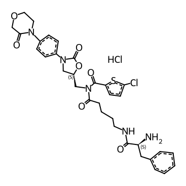 Cl.N[C@@H](Cc1ccccc1)C(=O)NCCCCC(=O)N(C[C@H]1CN(c2ccc(N3CCOCC3=O)cc2)C(=O)O1)C(=O)c1ccc(Cl)s1